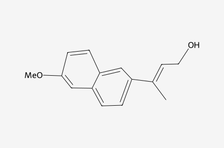 COc1ccc2cc(C(C)=CCO)ccc2c1